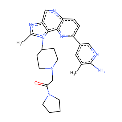 Cc1cc(-c2ccc3ncc4nc(C)n(C5CCN(CC(=O)N6CCCC6)CC5)c4c3n2)cnc1N